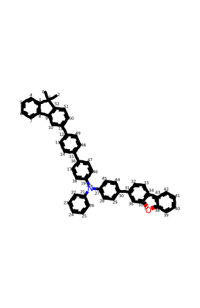 CC1(C)c2ccccc2-c2cc(-c3ccc(-c4ccc(N(c5ccccc5)c5ccc(-c6ccc7c(c6)oc6ccccc67)cc5)cc4)cc3)ccc21